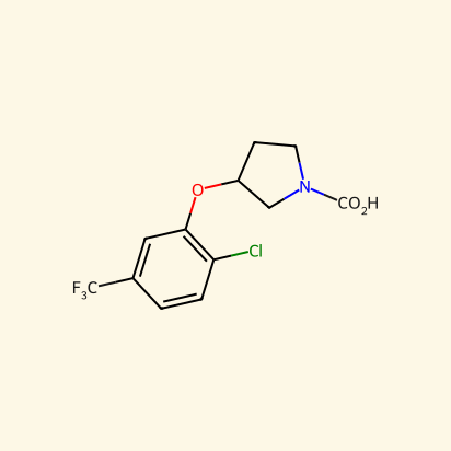 O=C(O)N1CCC(Oc2cc(C(F)(F)F)ccc2Cl)C1